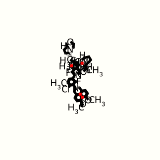 COc1ccc(CN(Cc2ccc(OC)cc2)c2c(F)c(-c3nc4c5c(nc(OC[C@@H]6CC[C@H]7COCCN76)nc5c3F)N3C[C@H]5CC[C@@H]([C@H]3[C@H](C)O4)N5C(=O)OC(C)(C)C)cc(C)c2Cl)cc1